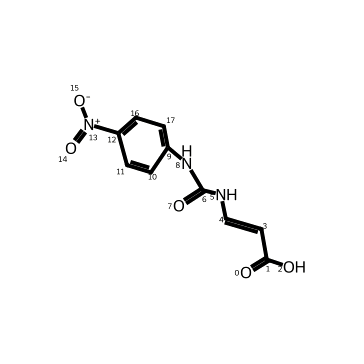 O=C(O)C=CNC(=O)Nc1ccc([N+](=O)[O-])cc1